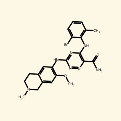 COc1cc2c(cc1Nc1nnc(C(N)=O)c(Nc3c(C)cccc3Br)n1)CCN(C)C2